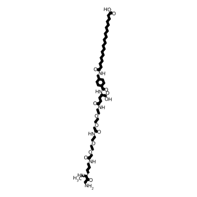 CN[C@H](CCCCNC(=O)COCCOCCNC(=O)COCCOCCNC(=O)CCC(NC(=O)C1CCC(CNC(=O)CCCCCCCCCCCCCCCCCCC(=O)O)CC1)C(=O)O)C(=O)CN